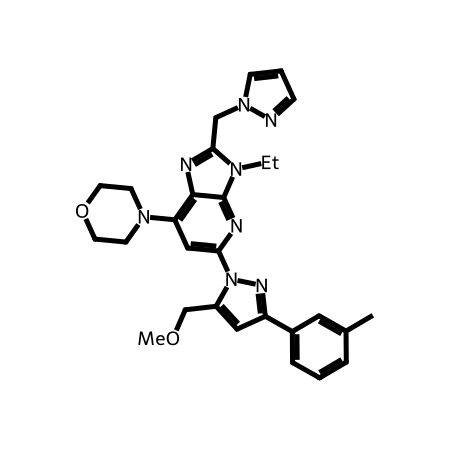 CCn1c(Cn2cccn2)nc2c(N3CCOCC3)cc(-n3nc(-c4cccc(C)c4)cc3COC)nc21